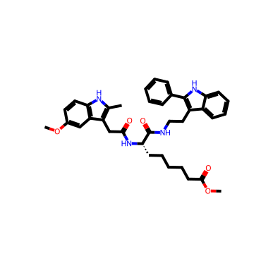 COC(=O)CCCCC[C@H](NC(=O)Cc1c(C)[nH]c2ccc(OC)cc12)C(=O)NCCc1c(-c2ccccc2)[nH]c2ccccc12